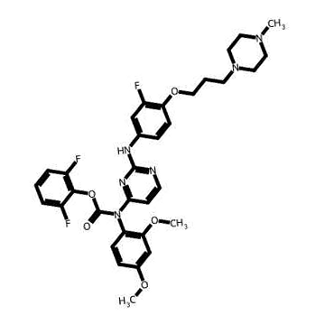 COc1ccc(N(C(=O)Oc2c(F)cccc2F)c2ccnc(Nc3ccc(OCCCN4CCN(C)CC4)c(F)c3)n2)c(OC)c1